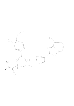 CC(C)Oc1ccc(C(=O)N[C@H](CNC(=O)[C@@H](C)N)Cc2ccc(C3CN4C=CC=C(Br)C4=N3)cc2)cc1Cl